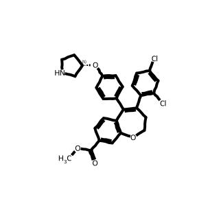 COC(=O)c1ccc2c(c1)OCCC(c1ccc(Cl)cc1Cl)=C2c1ccc(O[C@H]2CCNC2)cc1